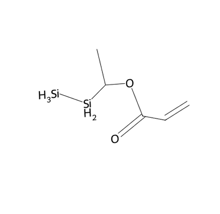 C=CC(=O)OC(C)[SiH2][SiH3]